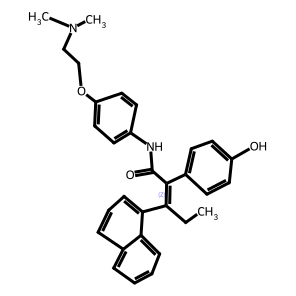 CC/C(=C(/C(=O)Nc1ccc(OCCN(C)C)cc1)c1ccc(O)cc1)c1cccc2ccccc12